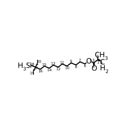 C=C(C)C(=O)OCCCCCCCCCCCC([SiH3])(I)I